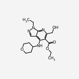 CCOC(=O)c1c(CO)nc2c(cnn2CC)c1NC1CCOCC1